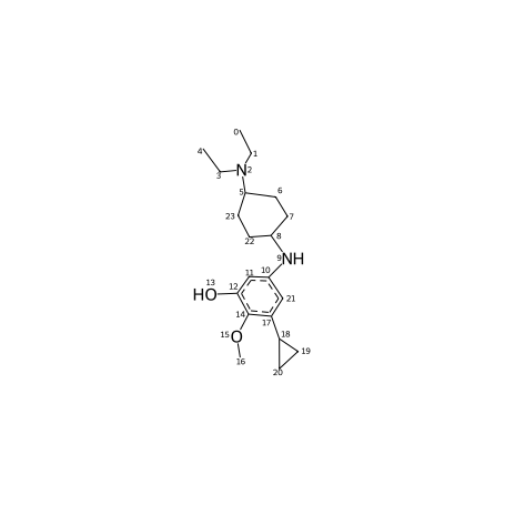 CCN(CC)C1CCC(Nc2cc(O)c(OC)c(C3CC3)c2)CC1